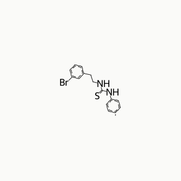 S=C(NCCc1cccc(Br)c1)Nc1cc[c]cc1